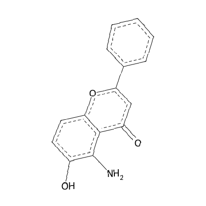 Nc1c(O)ccc2oc(-c3ccccc3)cc(=O)c12